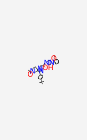 COc1ccccc1N1CCN(CC(O)Cn2nc(-c3ccc(C(C)(C)C)cc3)c3c2CCN(C(C)=O)C3)CC1